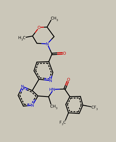 CC1CN(C(=O)c2ccc(-c3nccnc3C(C)NC(=O)c3cc(C(F)(F)F)cc(C(F)(F)F)c3)nc2)CC(C)O1